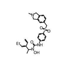 C=C/C(=C\CC)C(C)N(O)C(=O)Nc1ccc(S(=O)(=O)Cc2ccc3c(c2)CN(C)C3)cc1